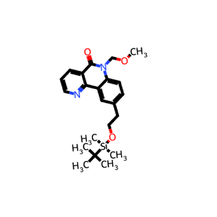 COCn1c(=O)c2cccnc2c2cc(CCO[Si](C)(C)C(C)(C)C)ccc21